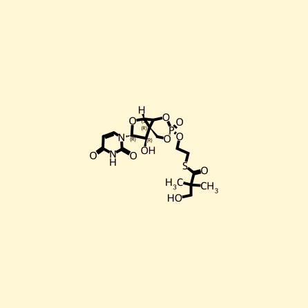 CC(C)(CO)C(=O)SCCOP1(=O)OC[C@]23C(O1)[C@H]2O[C@@H](n1ccc(=O)[nH]c1=O)[C@@H]3O